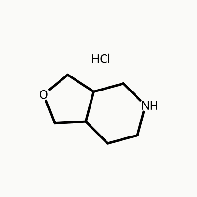 C1CC2COCC2CN1.Cl